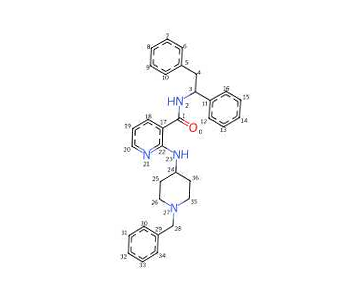 O=C(NC(Cc1ccccc1)c1ccccc1)c1cccnc1NC1CCN(Cc2ccccc2)CC1